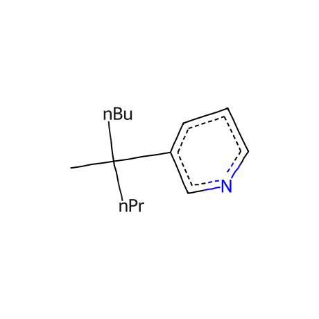 CCCCC(C)(CCC)c1cccnc1